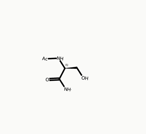 CC(=O)N[C@@H](CO)C([NH])=O